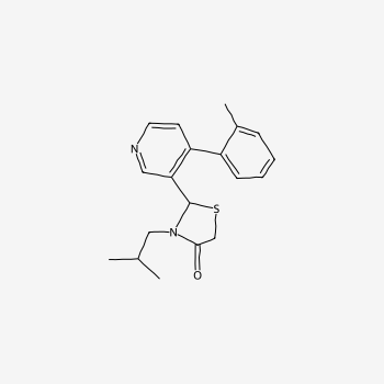 Cc1ccccc1-c1ccncc1C1SCC(=O)N1CC(C)C